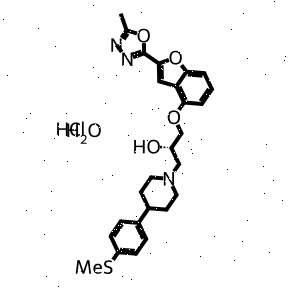 CSc1ccc(C2CCN(C[C@H](O)COc3cccc4oc(-c5nnc(C)o5)cc34)CC2)cc1.Cl.O